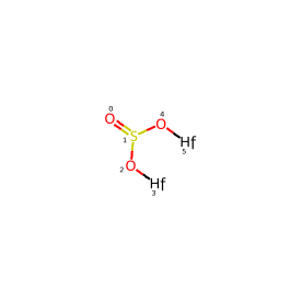 O=S([O][Hf])[O][Hf]